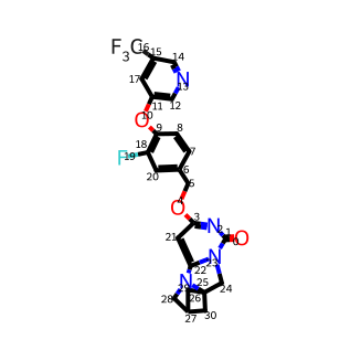 O=c1nc(OCc2ccc(Oc3cncc(C(F)(F)F)c3)c(F)c2)cc2n1CC13CC(CN21)C3